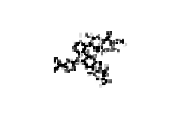 C[C@@H]1CN(C(=O)N(C)C)[C@@H](C)CN1c1ncnc2c1c1cc(F)c(S(=O)(=O)NC3(C#N)CC3)cc1n2-c1nnc(C(F)F)s1